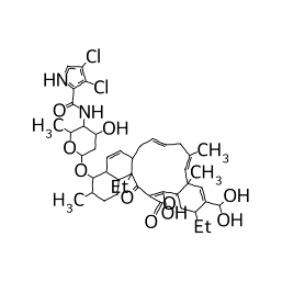 CCC1CC23OC(=O)C(=C2O)C(=O)C2(CC)C(C=CC4C(OC5CC(O)C(NC(=O)c6[nH]cc(Cl)c6Cl)C(C)O5)C(C)CCC42)C/C=C/C/C(C)=C/C3(C)C=C1C(O)O